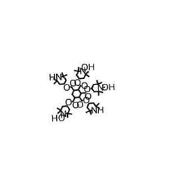 CC1(C)CC(OC(=O)C2CC(C(=O)OC3CC(C)(C)N(O)C(C)(C)C3)C(C(=O)OC3CC(C)(C)NC(C)(C)C3)C(C(=O)OC3CC(C)(C)N(O)C(C)(C)C3)C2C(=O)OC2CC(C)(C)N(O)C(C)(C)C2)CC(C)(C)N1